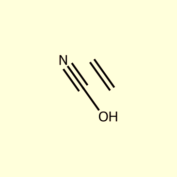 C=C.N#CO